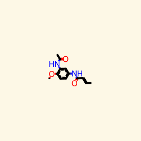 CC=CC(=O)Nc1ccc(OC)c(NC(C)=O)c1